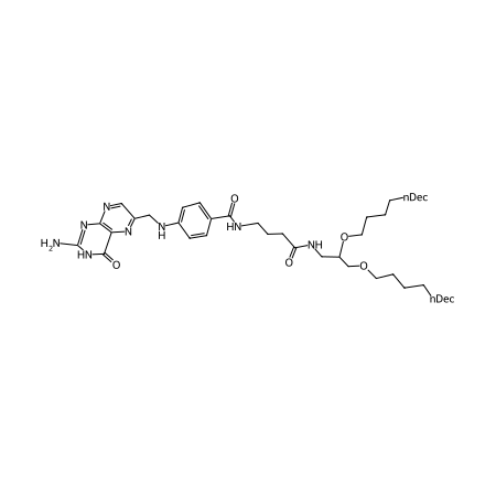 CCCCCCCCCCCCCCOCC(CNC(=O)CCCNC(=O)c1ccc(NCc2cnc3nc(N)[nH]c(=O)c3n2)cc1)OCCCCCCCCCCCCCC